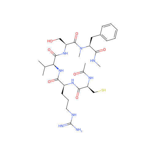 CNC(=O)[C@H](Cc1ccccc1)N(C)C(=O)[C@H](CO)NC(=O)[C@@H](NC(=O)[C@H](CCCNC(=N)N)NC(=O)[C@H](CS)NC(C)=O)C(C)C